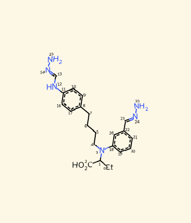 CCC(C(=O)O)N(CCCCc1ccc(NC=NN)cc1)c1cccc(C=NN)c1